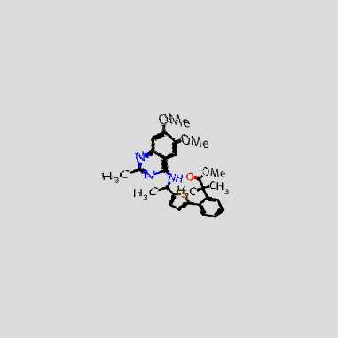 COC(=O)C(C)(C)c1ccccc1-c1ccc(C(C)Nc2nc(C)nc3cc(OC)c(OC)cc23)s1